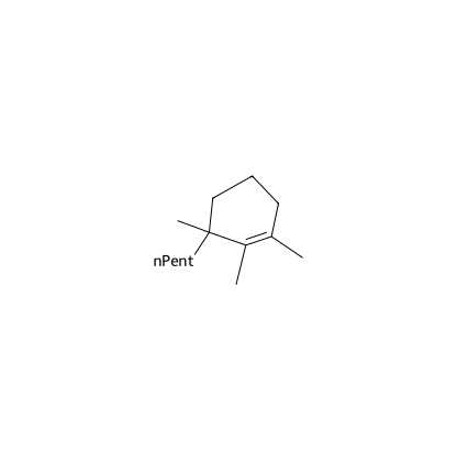 CCCCCC1(C)CCCC(C)=C1C